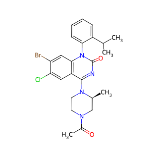 CC(=O)N1CCN(c2nc(=O)n(-c3ccccc3C(C)C)c3cc(Br)c(Cl)cc23)[C@@H](C)C1